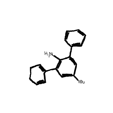 CC(C)(C)c1cc(C2=CCCC=C2)c(N)c(-c2ccccc2)c1